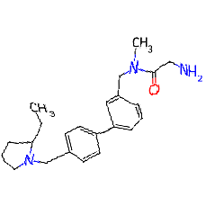 CCC1CCCN1Cc1ccc(-c2cccc(CN(C)C(=O)CN)c2)cc1